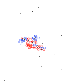 COC[C@H]1[C@@H](O)[C@H](n2c[n+](C)c3c(=O)[nH]c(N)nc32)O[C@@H]1COP(=O)([O-])OP(=O)(O)OP(=O)(O)OCC1O[C@@H](n2cnc3c(N)ncnc32)[C@H](OC)[C@@H]1CC(=O)NC[C@H]1O[C@@H](n2ccc(=O)[nH]c2=O)[C@H](O)[C@@H]1O